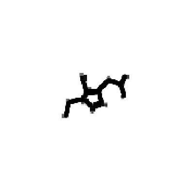 CCn1nnc(CC(C)C)c1Cl